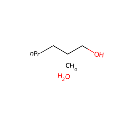 C.CCCCCCO.O